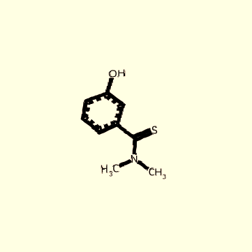 CN(C)C(=S)c1cccc(O)c1